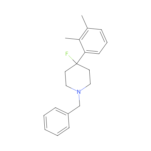 Cc1cccc(C2(F)CCN(Cc3ccccc3)CC2)c1C